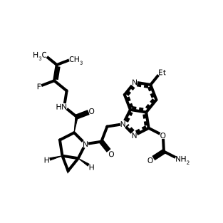 CCc1cc2c(OC(N)=O)nn(CC(=O)N3[C@@H]4C[C@@H]4C[C@H]3C(=O)NCC(F)=C(C)C)c2cn1